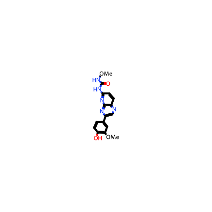 CONC(=O)Nc1ccc2ncc(-c3ccc(O)c(OC)c3)nc2n1